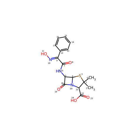 CC1(C)SC2C(NC(=O)C(=NO)c3ccccc3)C(=O)N2C1C(=O)O